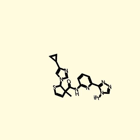 CC(C)n1cnnc1-c1cccc(NC(=O)C2(C)C=CSC2n2cnc(C3CC3)c2)n1